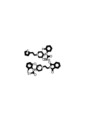 CCC(=O)N(c1ccccc1F)[C@@H]1CCN(CCN2C(=O)c3ccccc3C2=O)C[C@H]1OC.CCC(=O)N(c1ccccc1F)[C@@H]1CCN(CCc2cccs2)C[C@H]1OC